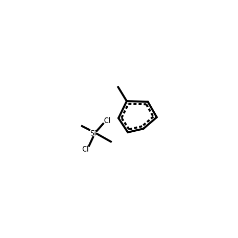 C[Si](C)(Cl)Cl.Cc1ccccc1